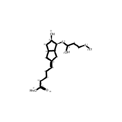 CCSCCC(O)S[C@H]1C2C/C(=C/CCCC(=O)OC)CC2C[C@H]1O